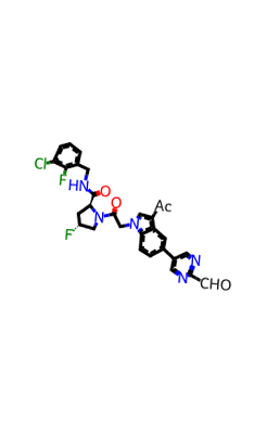 CC(=O)c1cn(CC(=O)N2C[C@H](F)C[C@H]2C(=O)NCc2cccc(Cl)c2F)c2ccc(-c3cnc(C=O)nc3)cc12